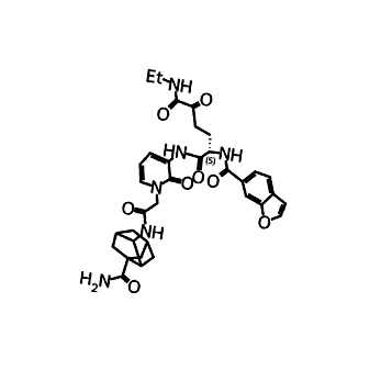 CCNC(=O)C(=O)CC[C@H](NC(=O)c1ccc2ccoc2c1)C(=O)Nc1cccn(CC(=O)NC2C3CC4CC2C(C(N)=O)(C4)C3)c1=O